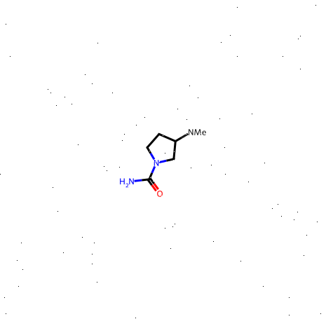 CNC1CCN(C(N)=O)C1